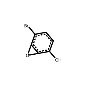 Oc1ccc(Br)c2c1O2